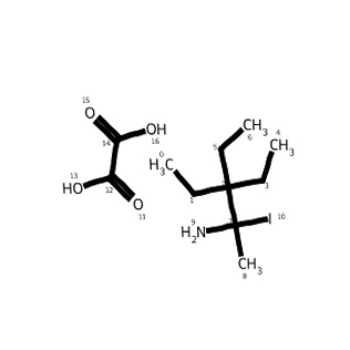 CCC(CC)(CC)C(C)(N)I.O=C(O)C(=O)O